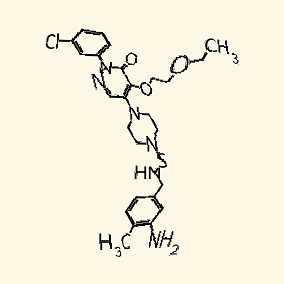 CCOCCOc1c(N2CCN(SNCc3ccc(C)c(N)c3)CC2)cnn(-c2cccc(Cl)c2)c1=O